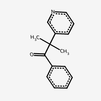 CC(C)(C(=O)c1ccccc1)c1cccnc1